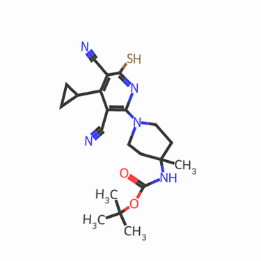 CC1(NC(=O)OC(C)(C)C)CCN(c2nc(S)c(C#N)c(C3CC3)c2C#N)CC1